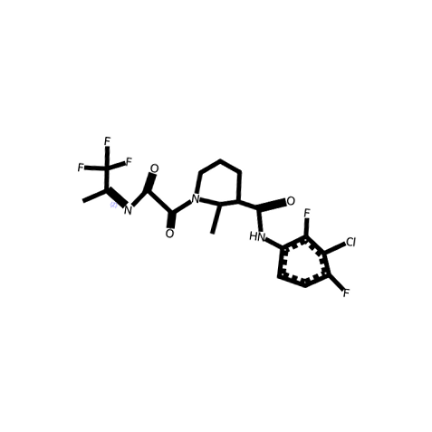 C/C(=N/C(=O)C(=O)N1CCCC(C(=O)Nc2ccc(F)c(Cl)c2F)C1C)C(F)(F)F